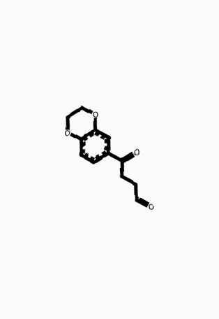 O=CCCC(=O)c1ccc2c(c1)OCCO2